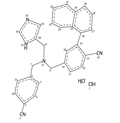 Cl.Cl.N#Cc1ccc(CN(Cc2ccc(C#N)c(-c3cccc4ccccc34)c2)Cc2cnc[nH]2)cc1